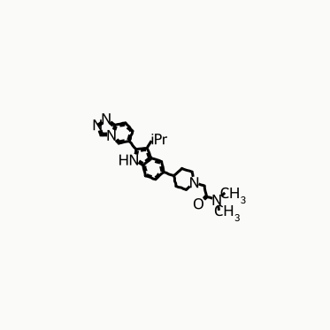 CC(C)c1c(-c2ccc3nncn3c2)[nH]c2ccc(C3CCN(CC(=O)N(C)C)CC3)cc12